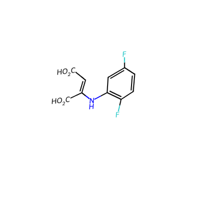 O=C(O)C=C(Nc1cc(F)ccc1F)C(=O)O